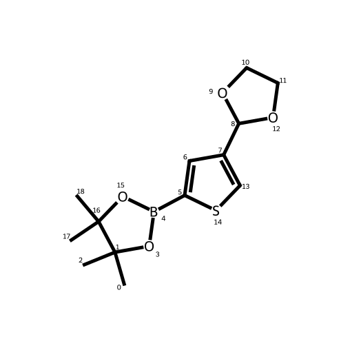 CC1(C)OB(c2cc(C3OCCO3)cs2)OC1(C)C